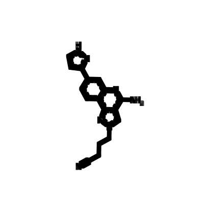 N#CCCCn1cc2c(N)nc3cc(-c4cc[nH]n4)ccc3c2n1